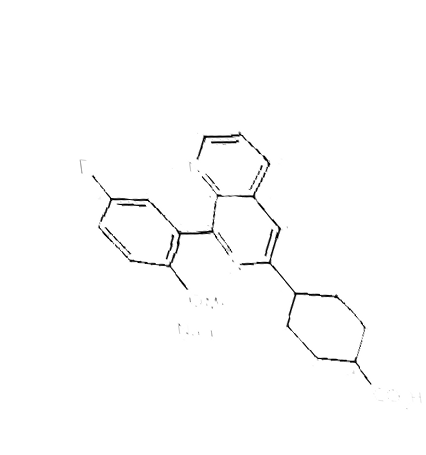 COc1ccc(F)cc1-c1nc(C2CCC(C(=O)O)CC2)cc2cccnc12.[NaH]